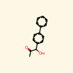 CC(=O)C(O)c1ccc(-c2ccccc2)cc1